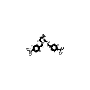 O=[N+]([O-])c1ccc(CSC2=[N+](Cc3ccc([N+](=O)[O-])cc3)CCS2)cc1.[Br-]